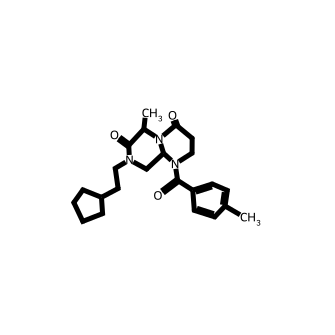 Cc1ccc(C(=O)N2CCC(=O)N3C(C)C(=O)N(CCC4CCCC4)CC23)cc1